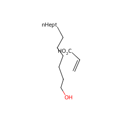 C=CC(=O)O.CCCCCCCCCCCCCO